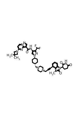 Cn1c(=O)n(C2CCC(=O)NC2=O)c2cccc(C#CCN3CCN(C[C@H]4CC[C@H](n5cc(NC(=O)c6cnn7ccc(N8CC(C)(C)C8)nc67)c(C(F)F)n5)CC4)CC3)c21